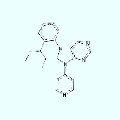 CCC(CC)c1ccccc1N1CN(c2ccncc2)c2ncncc21